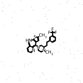 Cc1cc2c(s1)NC=c1cccnc1=C2N1CCN(C)C(CCc2cccc(C(F)(F)F)c2)C1